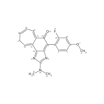 COc1ccc(C2=C3N=C(N(C)C)N=C3C3=CCC=CC=C3C2=O)c(F)c1